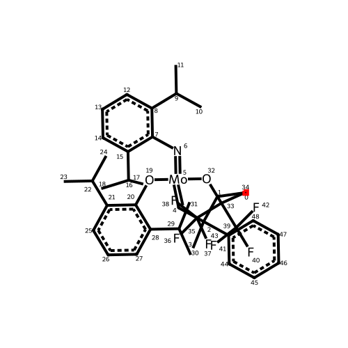 CCC(C)([CH]=[Mo](=[N]c1c(C(C)C)cccc1C(C)C)([O]c1c(C(C)C)cccc1C(C)C)[O]C(C)(C(F)(F)F)C(F)(F)F)c1ccccc1